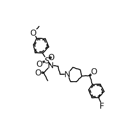 COc1ccc(S(=O)(=O)N(CCN2CCC(C(=O)c3ccc(F)cc3)CC2)C(C)=O)cc1